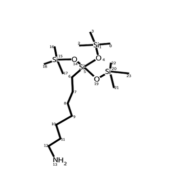 C[Si](C)(C)O[Si](CCCCCCCN)(O[Si](C)(C)C)O[Si](C)(C)C